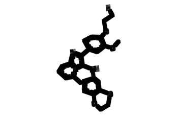 COc1cc(-c2nc3cccc(C)n3c2Nc2ccc3c(c2)OCCO3)ccc1OCCF